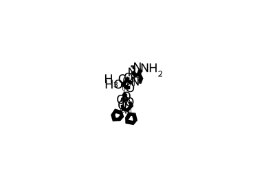 C[C@@]1(O)[C@H](O)[C@@H](CO[P@@]2(=O)OC[C@H](c3ccccc3)[C@@H](c3ccccc3)O2)O[C@H]1n1ccc2c(N)ncnc21